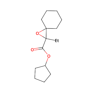 CCC1(C(=O)OC2CCCC2)OC12CCCCC2